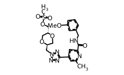 COc1cccc(CNC(=O)c2cc(-c3nnn(C[C@@H]4CO[C@@H](COS(C)(=O)=O)CO4)n3)cc(C)n2)c1